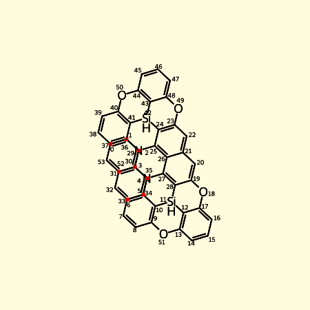 c1ccc(N2c3cccc4c3[SiH]3c5c(cccc5Oc5cc6cc7c8c(c6c2c53)N(c2ccccc2)c2cccc3c2[SiH]8c2c(cccc2O7)O3)O4)cc1